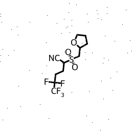 N#CC(CCC(F)(F)C(F)(F)F)S(=O)(=O)CC1CCCO1